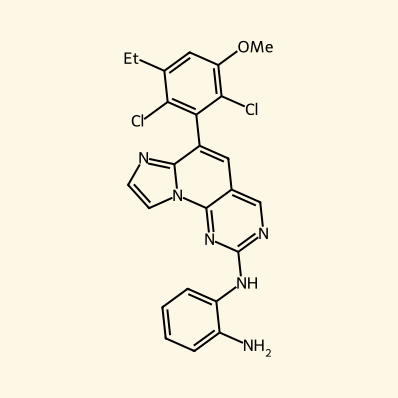 CCc1cc(OC)c(Cl)c(-c2cc3cnc(Nc4ccccc4N)nc3n3ccnc23)c1Cl